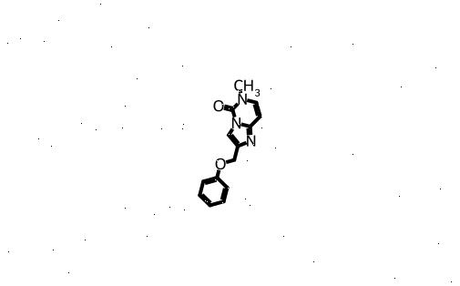 Cn1ccc2nc(COc3ccccc3)cn2c1=O